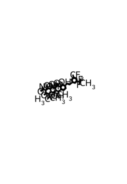 C[C@H]1c2ccc(/C=C/c3cc(C(C)(F)F)cc(C(F)(F)F)c3)c(O)c2C(=O)C2=C(O)[C@]3(O)C(O)=C(C(N)=O)C(=O)[C@@H](N(C)C)[C@@H]3[C@@H](O)[C@@H]21